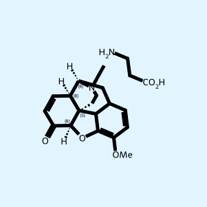 COC1=C2O[C@H]3C(=O)C=C[C@H]4[C@H]5CC(C=C1)C2[C@@]34CCN5C.NCCC(=O)O